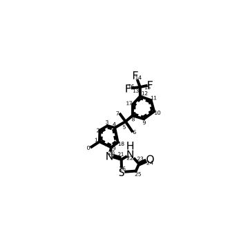 Cc1ccc(C(C)(C)c2cccc(C(F)(F)F)c2)cc1N=C1NC(=O)CS1